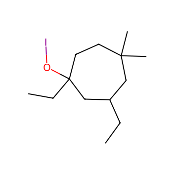 CCC1CC(C)(C)CCC(CC)(OI)C1